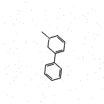 CN1C=CC=C(c2ccccc2)C1